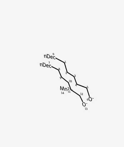 CCCCCCCCCCCCCCC[O-].CCCCCCCCCCCCCCC[O-].[Mn+2]